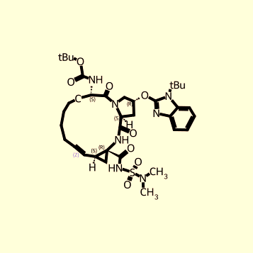 CN(C)S(=O)(=O)NC(=O)[C@@]12C[C@H]1/C=C\CCCCC[C@H](NC(=O)OC(C)(C)C)C(=O)N1C[C@H](Oc3nc4ccccc4n3C(C)(C)C)C[C@H]1C(=O)N2